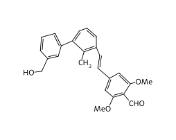 COc1cc(/C=C/c2cccc(-c3cccc(CO)c3)c2C)cc(OC)c1C=O